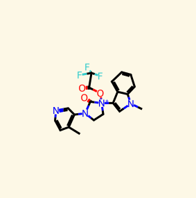 Cc1ccncc1N1CC[N+](OC(=O)C(F)(F)F)(c2cn(C)c3ccccc23)C1=O